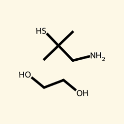 CC(C)(S)CN.OCCO